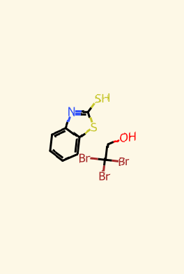 OCC(Br)(Br)Br.Sc1nc2ccccc2s1